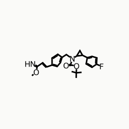 COC(=N)/C=C/c1ccc(CN(C(=O)OC(C)(C)C)C2CC2c2ccc(F)cc2)cc1